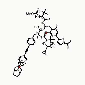 COC(=O)N[C@H](C(=O)NN(Cc1c(F)cc(-c2ccn(C(F)F)n2)cc1F)C[C@H](O)[C@H](Cc1ccc(C#Cc2cnc(N3CC4CCC(C3)N4C3COC3)nc2)cc1)NC(=O)C(NC(=O)C1CC1)C(C)(C)C(F)(F)F)C(C)(C)C(F)(F)F